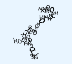 CC(=O)N(OCC(=O)N1CCN(c2ccc(Nc3ncc(C)c(Nc4cccc(S(=O)(=O)NC(C)(C)C)c4)n3)cc2)CC1)[C@H](C(=O)N1C[C@H](O)C[C@H]1C(=O)NCc1ccc(-c2scnc2C)cc1)C(C)(C)C